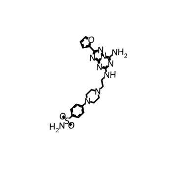 Nc1nc(NCCN2CCN(c3ccc(S(N)(=O)=O)cc3)CC2)nc2nc(-c3ccco3)nn12